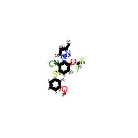 COc1cccc(Sc2ccc(OC(F)F)c(-n3ccc(C)n3)c2Cl)c1